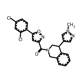 Cn1cc(C2CN(C(=O)c3cc(-c4ccc(Cl)cc4Cl)on3)Cc3ccccc32)cn1